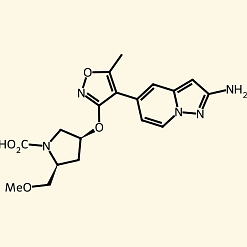 COC[C@@H]1C[C@H](Oc2noc(C)c2-c2ccn3nc(N)cc3c2)CN1C(=O)O